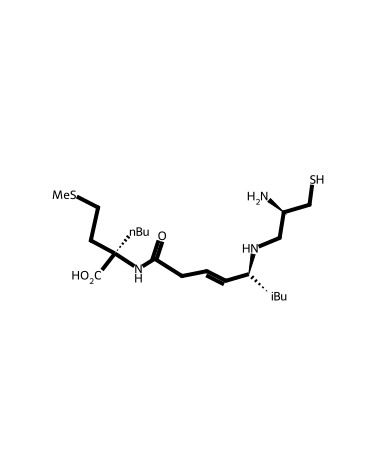 CCCC[C@](CCSC)(NC(=O)C/C=C/[C@@H](NC[C@@H](N)CS)[C@@H](C)CC)C(=O)O